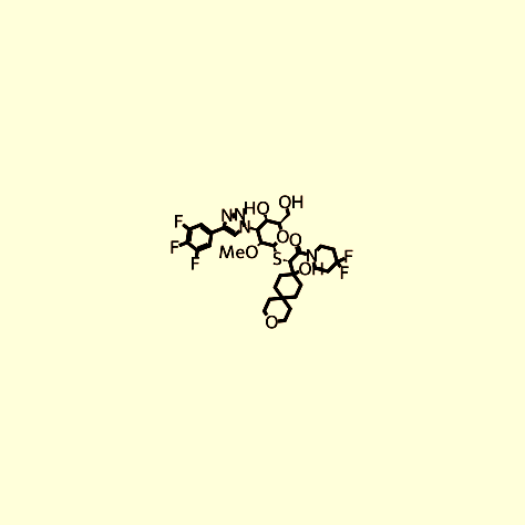 CO[C@@H]1[C@@H](n2cc(-c3cc(F)c(F)c(F)c3)nn2)[C@@H](O)[C@@H](CO)O[C@H]1S[C@H](C(=O)N1CCC(F)(F)CC1)C1(O)CCC2(CCOCC2)CC1